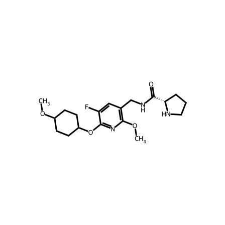 COc1nc(OC2CCC(OC)CC2)c(F)cc1CNC(=O)[C@@H]1CCCN1